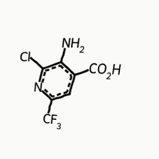 Nc1c(C(=O)O)cc(C(F)(F)F)nc1Cl